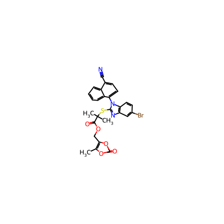 Cc1oc(=O)oc1COC(=O)C(C)(C)Sc1nc2cc(Br)ccc2n1-c1ccc(C#N)c2ccccc12